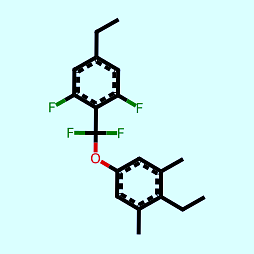 CCc1cc(F)c(C(F)(F)Oc2cc(C)c(CC)c(C)c2)c(F)c1